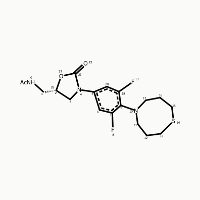 CC(=O)NC[C@H]1CN(c2cc(F)c(N3CCCSCCC3)c(F)c2)C(=O)O1